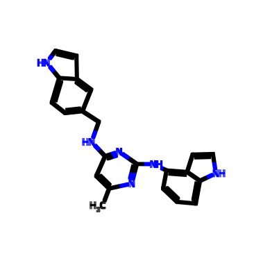 Cc1cc(NCc2ccc3[nH]ccc3c2)nc(Nc2cccc3[nH]ccc23)n1